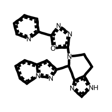 c1ccc(-c2nnc(N3CCc4[nH]cnc4C3c3cc4ccccn4n3)o2)nc1